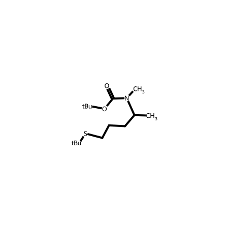 CC(CCCSC(C)(C)C)N(C)C(=O)OC(C)(C)C